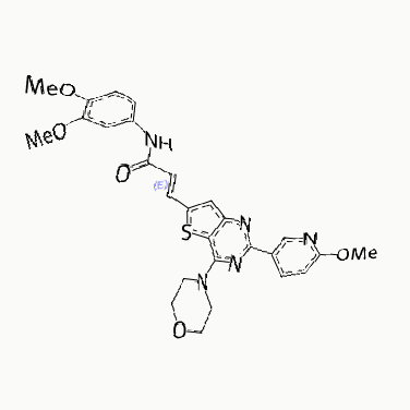 COc1ccc(-c2nc(N3CCOCC3)c3sc(/C=C/C(=O)Nc4ccc(OC)c(OC)c4)cc3n2)cn1